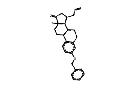 C=CC[C@@H]1CC(=O)C2(C)CCC3c4ccc(OCc5ccccc5)cc4CCC3C12